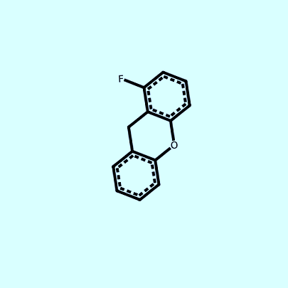 Fc1cccc2c1Cc1ccccc1O2